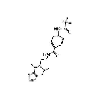 CC1Cc2ccsc2C(C)N1CCNC(=O)c1ccc(NC(=O)C(C)(C)C)cc1